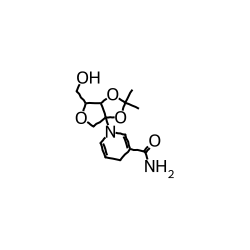 CC1(C)OC2C(CO)OCC2(N2C=CCC(C(N)=O)=C2)O1